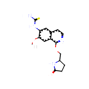 COc1cc2c(OCC3CCC(=O)N3)nccc2cc1NC(N)=S